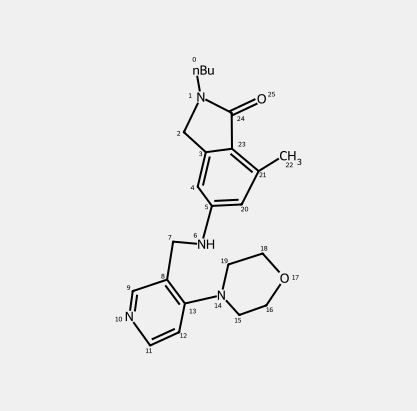 CCCCN1Cc2cc(NCc3cnccc3N3CCOCC3)cc(C)c2C1=O